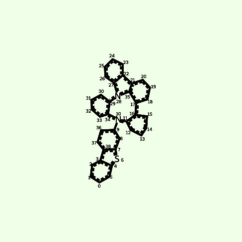 c1ccc2c(c1)sc1cc(-n3c4ccccc4c4cccc5c6ccccc6n(c6ccccc63)c45)ccc12